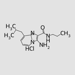 CCCNC(=O)c1nc2c(CC(C)C)cccn2c1N.Cl